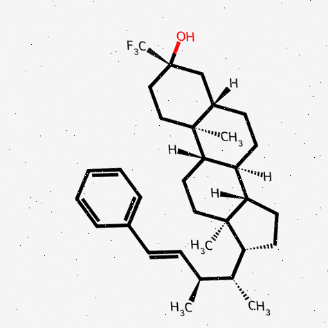 C[C@@H]([C@H]1CC[C@H]2[C@@H]3CC[C@H]4C[C@](O)(C(F)(F)F)CC[C@]4(C)[C@H]3CC[C@]12C)[C@@H](C)/C=C/c1ccccc1